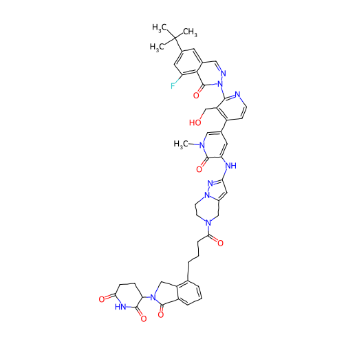 Cn1cc(-c2ccnc(-n3ncc4cc(C(C)(C)C)cc(F)c4c3=O)c2CO)cc(Nc2cc3n(n2)CCN(C(=O)CCCc2cccc4c2CN(C2CCC(=O)NC2=O)C4=O)C3)c1=O